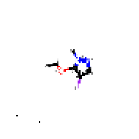 CCOc1c(I)cnn1C